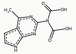 Cc1nc(N(C(=O)O)C(=O)O)nc2[nH]ccc12